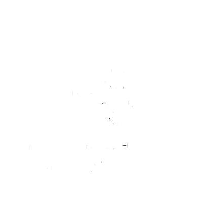 CC(=O)O[C@H]1[C@H](OCc2ccccc2)CC2=CC=C3[C@@H]4CC[C@H]([C@H](C)CCCC(C)C)[C@@]4(C)CC[C@@H]3[C@@]2(C)[C@H]1OC(C)=O